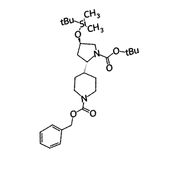 CC(C)(C)OC(=O)N1C[C@H](O[Si](C)(C)C(C)(C)C)C[C@H]1C1CCN(C(=O)OCc2ccccc2)CC1